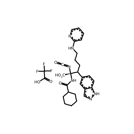 O=C(O)C(F)(F)F.O=C=N[C@](NC(=O)C1CCCCC1)(C(=O)O)C(CCCNc1ccccn1)c1ccc2[nH]ncc2c1